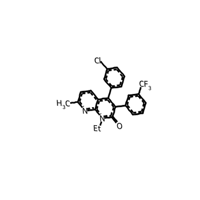 CCn1c(=O)c(-c2cccc(C(F)(F)F)c2)c(-c2cccc(Cl)c2)c2ccc(C)nc21